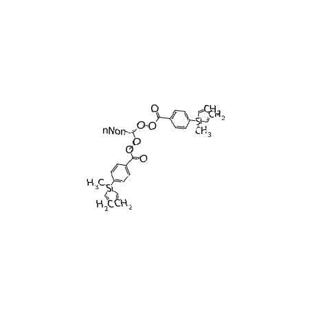 [CH2]CCCCCCCC[C](OOC(=O)c1ccc([Si](C)(C=C)C=C)cc1)OOC(=O)c1ccc([Si](C)(C=C)C=C)cc1